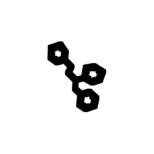 c1ccc(CCC(Cc2ccccc2)c2ccccc2)cc1